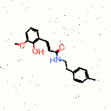 [CH2]c1ccc(CCNC(=O)C=Cc2cccc(OC)c2O)cc1